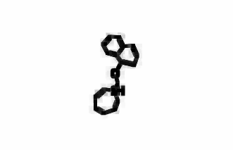 C1=CC=C[SH](COc2cccc3ccccc23)C=C1